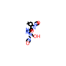 CC1(C)CCc2c(N3CCOCC3)nc3oc4c(N(CCO)CCN5CCOCC5)ncnc4c3c2C1